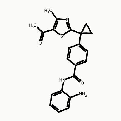 CC(=O)c1sc(C2(c3ccc(C(=O)Nc4ccccc4N)cc3)CC2)nc1C